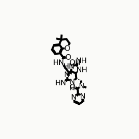 CN(C[C@@H]1NC(=N)N2CC(NC(=O)c3cccc4c3OCCC4(C)C)[C@@H](O)C23NC(=N)NC13)C(=O)c1ncccn1